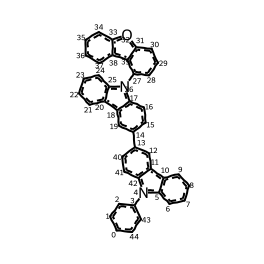 c1ccc(-n2c3ccccc3c3cc(-c4ccc5c(c4)c4ccccc4n5-c4cccc5oc6ccccc6c45)ccc32)cc1